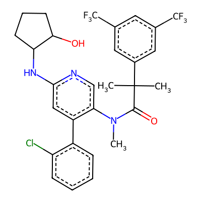 CN(C(=O)C(C)(C)c1cc(C(F)(F)F)cc(C(F)(F)F)c1)c1cnc(NC2CCCC2O)cc1-c1ccccc1Cl